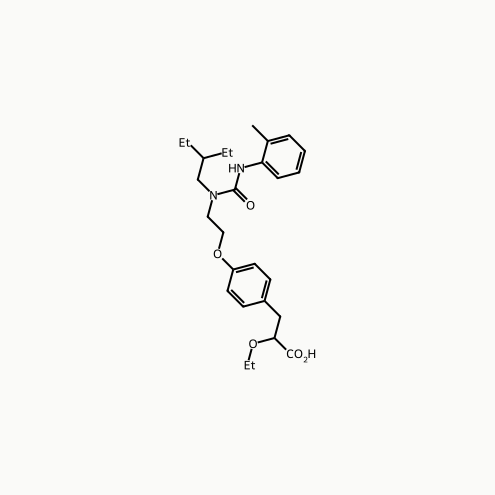 CCOC(Cc1ccc(OCCN(CC(CC)CC)C(=O)Nc2ccccc2C)cc1)C(=O)O